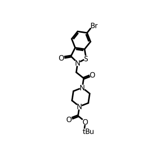 CC(C)(C)OC(=O)N1CCN(C(=O)Cn2sc3cc(Br)ccc3c2=O)CC1